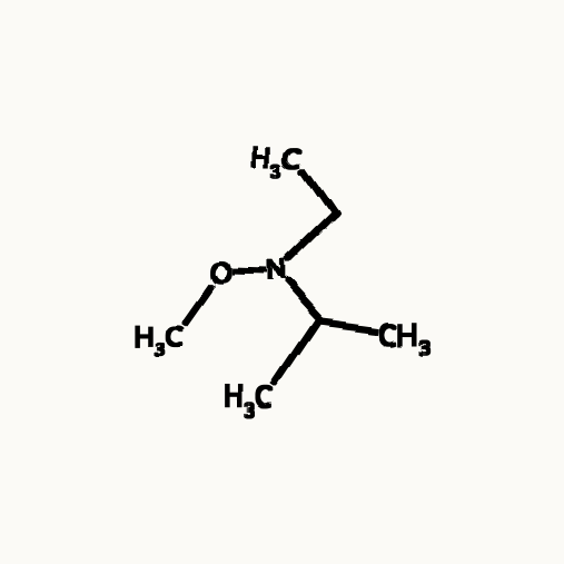 CCN(OC)C(C)C